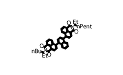 CCCCCC(CC)N1C(=O)c2cccc3c(-c4ccc(-c5ccc6c7c(cccc57)C(=O)N(C(CC)CCCC)C6=O)c5ccccc45)ccc(c23)C1=O